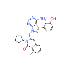 Cc1cccc2cc(Cn3nc(-c4cccc(O)c4)c4c(N)ncnc43)n(C3CCCC3)c(=O)c12